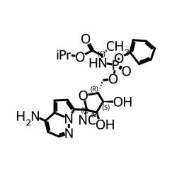 CC(C)OC(=O)[C@H](C)NP(=O)(OC[C@H]1O[C@@](C#N)(c2ccc3c(N)ccnn23)[C@H](O)[C@@H]1O)Oc1ccccc1